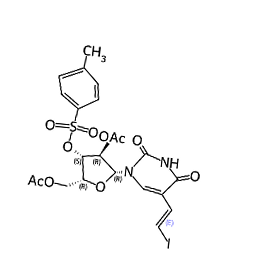 CC(=O)OC[C@H]1O[C@@H](n2cc(/C=C/I)c(=O)[nH]c2=O)[C@H](OC(C)=O)[C@H]1OS(=O)(=O)c1ccc(C)cc1